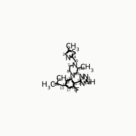 Cc1cnc(CN2CCN(c3cc(CC(C)C)cc(F)c3-c3nn[nH]n3)CC2C)s1